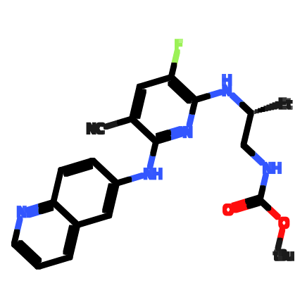 CC[C@H](CNC(=O)OC(C)(C)C)Nc1nc(Nc2ccc3ncccc3c2)c(C#N)cc1F